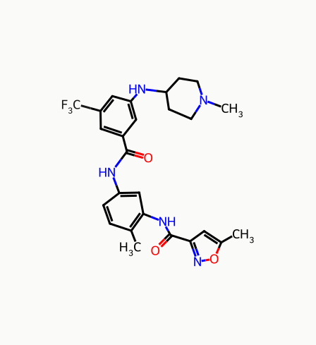 Cc1cc(C(=O)Nc2cc(NC(=O)c3cc(NC4CCN(C)CC4)cc(C(F)(F)F)c3)ccc2C)no1